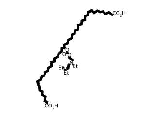 CCN(CC)CCN(CC)CCOC(=O)OC(CCCCCCCCCCCCCC/C=C\CCCCCCCC(=O)O)CCCCCCCCCCCCCC/C=C\CCCCCCCC(=O)O